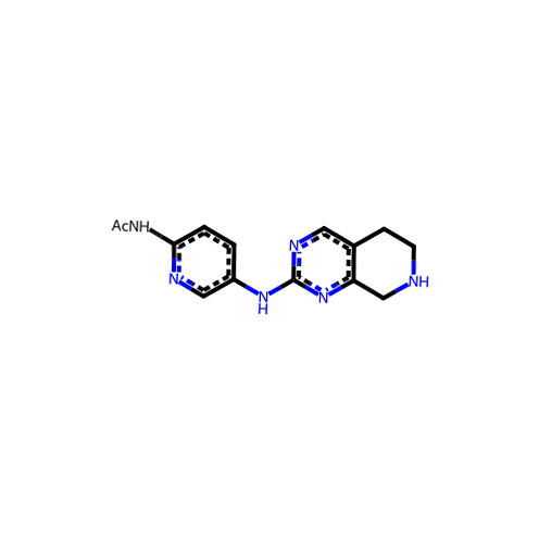 CC(=O)Nc1ccc(Nc2ncc3c(n2)CNCC3)cn1